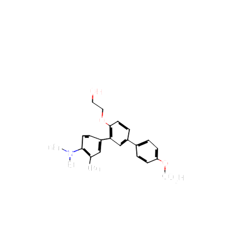 CCCN(CC)c1ccc(-c2cc(-c3ccc(OC(=O)O)cc3)ccc2OCCO)cc1C(C)(C)C